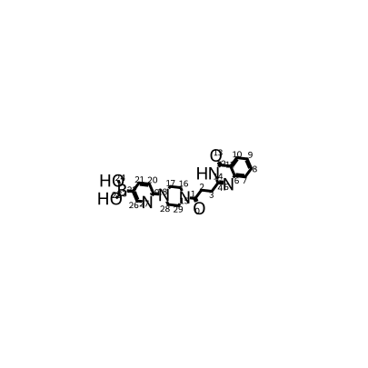 O=C(CCc1nc2ccccc2c(=O)[nH]1)N1CCN(c2ccc(B(O)O)cn2)CC1